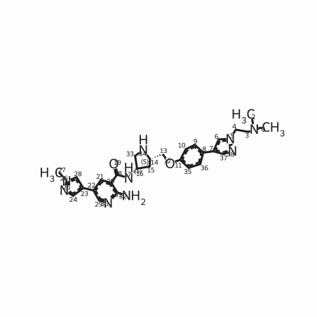 CN(C)CCn1cc(-c2ccc(OC[C@@H]3C[C@H](NC(=O)c4cc(-c5cnn(C)c5)cnc4N)CN3)cc2)cn1